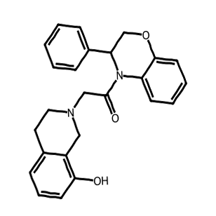 O=C(CN1CCc2cccc(O)c2C1)N1c2ccccc2OCC1c1ccccc1